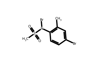 Cc1cc(Br)ccc1N(Br)S(C)(=O)=O